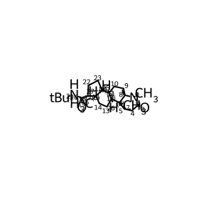 CN1C(=O)CC[C@@]2(C)C1=CC[C@@H]1[C@H]2CC[C@]2(C)C(C(=O)NC(C)(C)C)CC[C@@H]12